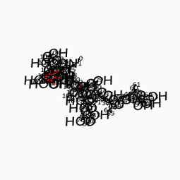 CCNC[C@@]1(C)C2CC[C@]3(C)C(CC=C4C5CC(C)(C)CC[C@]5(C(=O)OC5OC(O)CC(OC(=O)C[C@@H](O)C[C@H](OC(=O)C[C@@H](O)C[C@H](OC6OC(CO)C(O)C6O)[C@@H](C)CC)[C@@H](C)CC)C5OC5OC(C)C(OC6OCC(O)C(OC)C6O)C(O)C5O)[C@H](O)C[C@]43C)[C@@]2(C)CC[C@@H]1OC1OC(C(=O)O)C(O)C(OC2OCC(O)C(O)C2O)C1OC1OC(CO)C(O)C(O)C1O